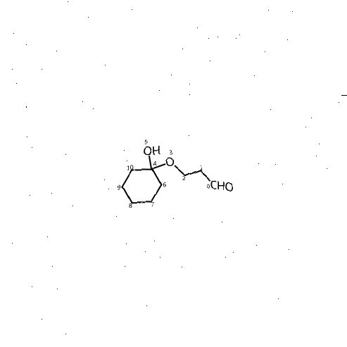 O=CCCOC1(O)CCCCC1